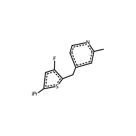 Cc1cc(Cc2sc(C(C)C)cc2F)ccn1